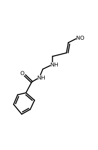 O=NC=CCNCNC(=O)c1ccccc1